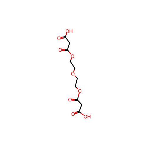 O=C(O)CC(=O)OCCOCCOC(=O)CC(=O)O